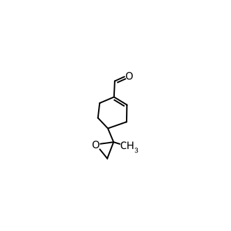 CC1(C2CC=C(C=O)CC2)CO1